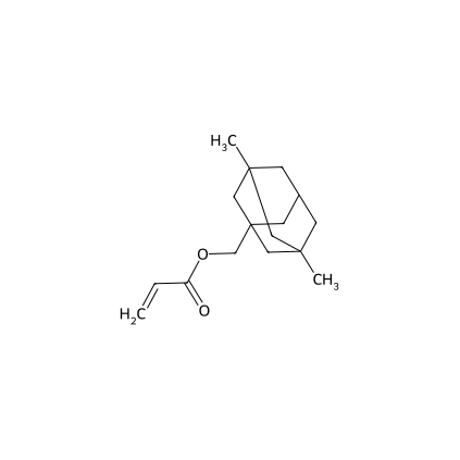 C=CC(=O)OCC12CC3CC(C)(CC(C)(C3)C1)C2